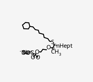 CCCCCCC[C@@H](SCCCCCCCCC1CCCCC1)[C@H](C)OCCCOP(=O)([O-])C(=O)[O-].[Na+].[Na+]